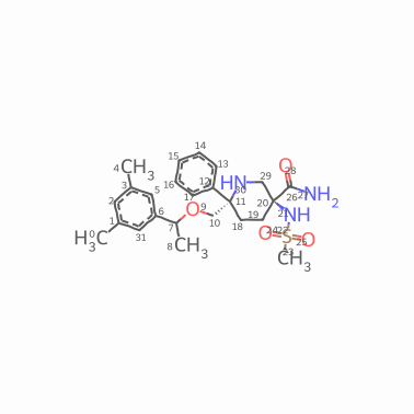 Cc1cc(C)cc(C(C)OC[C@@]2(c3ccccc3)CC[C@@](NS(C)(=O)=O)(C(N)=O)CN2)c1